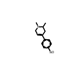 CC1CC(c2ccc(N=O)cc2)=CCN1C